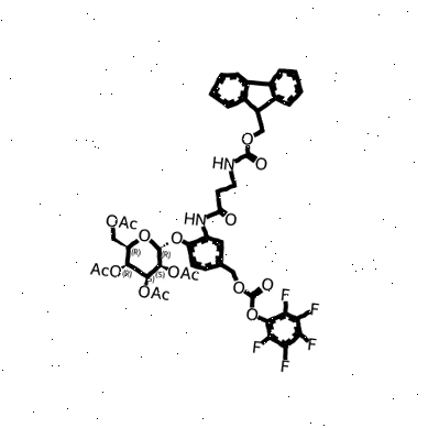 CC(=O)OC[C@H]1O[C@H](Oc2ccc(COC(=O)Oc3c(F)c(F)c(F)c(F)c3F)cc2NC(=O)CCNC(=O)OCC2c3ccccc3-c3ccccc32)[C@@H](OC(C)=O)[C@@H](OC(C)=O)[C@@H]1OC(C)=O